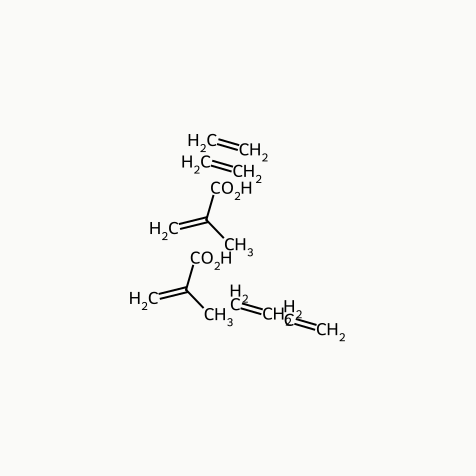 C=C.C=C.C=C.C=C.C=C(C)C(=O)O.C=C(C)C(=O)O